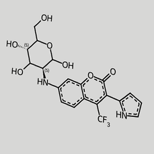 O=c1oc2cc(N[C@@H]3C(O)OC(CO)[C@@H](O)C3O)ccc2c(C(F)(F)F)c1-c1ccc[nH]1